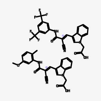 COc1ccc(C)c(NC(=O)/C(C#N)=C/c2cn(CC(=O)O)c3ccccc23)c1.N#C/C(=C\c1cn(CC(=O)O)c2ccccc12)C(=O)Nc1cc(C(F)(F)F)cc(C(F)(F)F)c1